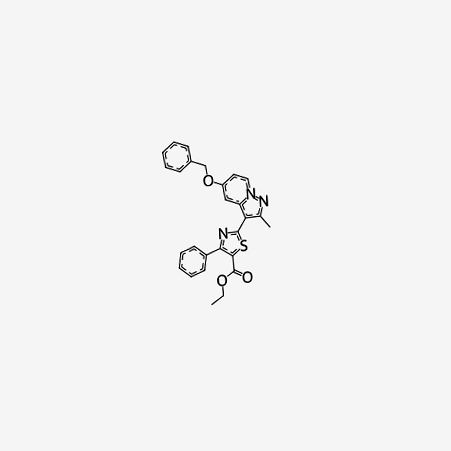 CCOC(=O)c1sc(-c2c(C)nn3ccc(OCc4ccccc4)cc23)nc1-c1ccccc1